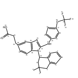 CC1(C)Cc2ccccc2C(n2c(Nc3ccc(OC(F)(F)F)cc3)nc3cc(CCC(=O)O)ccc32)C1